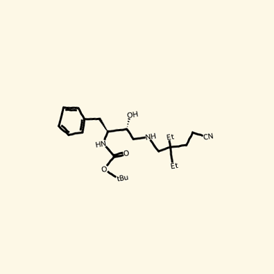 CCC(CC)(CCC#N)CNC[C@@H](O)[C@H](Cc1ccccc1)NC(=O)OC(C)(C)C